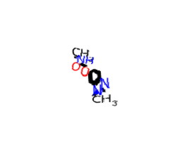 CCNC(=O)COc1ccc2ncn(CC)c2c1